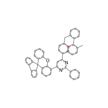 Cc1ccccc1-c1ccccc1Cc1ccc(-c2cc(-c3cccc4c3Oc3ccccc3C43c4ccccc4-c4ccccc43)nc(-c3ccccc3)n2)cc1